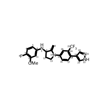 C=C1C(Nc2ccc(F)c(OC)c2)CCN1c1ccc(-c2cn[nH]c2)c(C(F)(F)F)c1